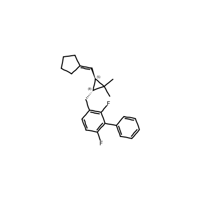 CC1(C)[C@H](C=C2CCCC2)[C@H]1Cc1ccc(F)c(-c2ccccc2)c1F